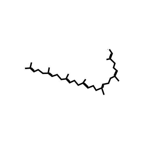 [CH2]/C=C(\C)CC/C=C(/C)CC/C=C(\C)CC/C=C(\C)CC/C=C(\C)CC/C=C(\C)CCC=C(C)C